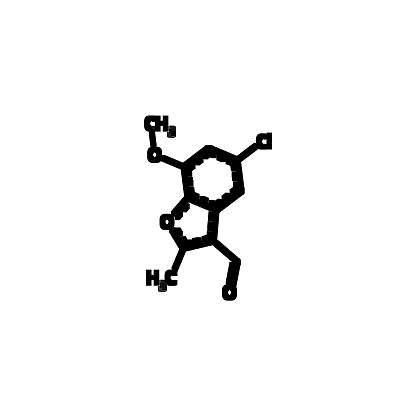 COc1cc(Cl)cc2c(C=O)c(C)oc12